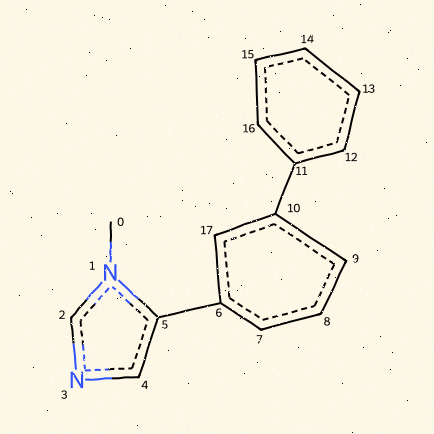 Cn1cncc1-c1cccc(-c2ccccc2)c1